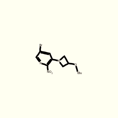 CC(C)(C)OC1CN(c2cc(Br)cnc2[N+](=O)[O-])C1